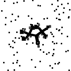 O=C(C(F)(F)Br)C(Br)(Br)Br